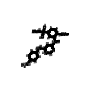 CNS(=O)(=O)c1ccc(SC)c(Nc2cc(Nc3ccc(N)cc3)ncn2)c1